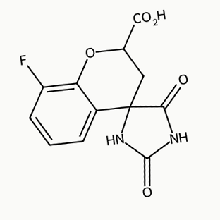 O=C1NC(=O)C2(CC(C(=O)O)Oc3c(F)cccc32)N1